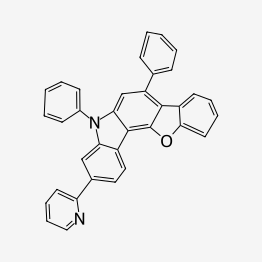 c1ccc(-c2cc3c(c4ccc(-c5ccccn5)cc4n3-c3ccccc3)c3oc4ccccc4c23)cc1